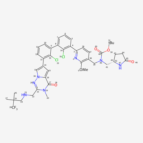 COc1nc(-c2cccc(-c3cccc(-c4cc5c(=O)n(C)c(CNCC(C)(C)C(F)(F)F)nn5c4)c3Cl)c2Cl)ccc1CN(C[C@@H]1CCC(=O)N1)C(=O)OC(C)(C)C